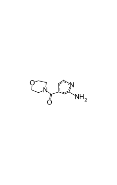 Nc1cc(C(=O)N2CCOCC2)ccn1